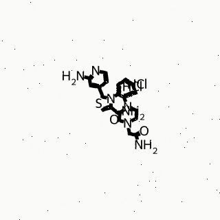 Cl.Cl.NC(=O)CN1CCN(c2ccccc2N2C(C(N)=O)=CSC2c2ccnc(N)c2)CC1